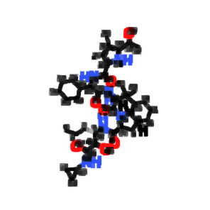 CCC[C@H](NC(=O)[C@@H]1C[C@@H]2CCCC3[C@@H]2N1C(=O)[C@@H](NC(=O)[C@@H](NC(=O)c1cc(C)c(C(C)=O)[nH]1)C1CCCCC1)C3(C)C)C(=O)C(=O)NC1CC1